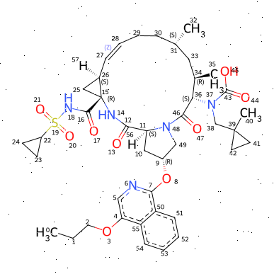 CCCOc1cnc(O[C@@H]2C[C@H]3C(=O)N[C@]4(C(=O)NS(=O)(=O)C5CC5)C[C@H]4/C=C\CC[C@H](C)C[C@@H](C)[C@H](N(CC4(C)CC4)C(=O)O)C(=O)N3C2)c2ccccc12